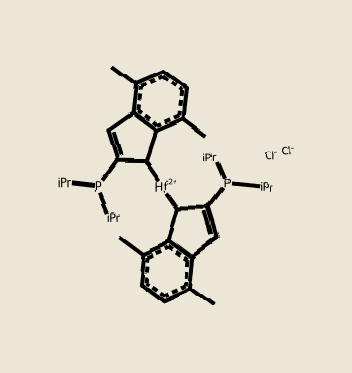 Cc1ccc(C)c2c1C=C(P(C(C)C)C(C)C)[CH]2[Hf+2][CH]1C(P(C(C)C)C(C)C)=Cc2c(C)ccc(C)c21.[Cl-].[Cl-]